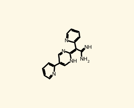 N=C(N)/C(=C1/N=CC(c2ccccn2)=CN1)c1ccccn1